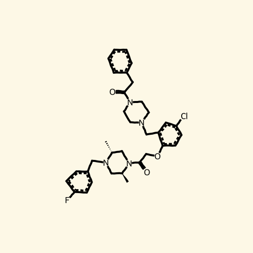 C[C@@H]1CN(C(=O)COc2ccc(Cl)cc2CN2CCN(C(=O)Cc3ccccc3)CC2)[C@@H](C)CN1Cc1ccc(F)cc1